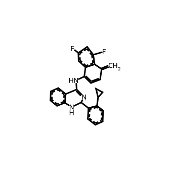 C=C1C=C=C(NC2=NC(c3ccccc3C3CC3)Nc3ccccc32)c2cc(F)cc(F)c21